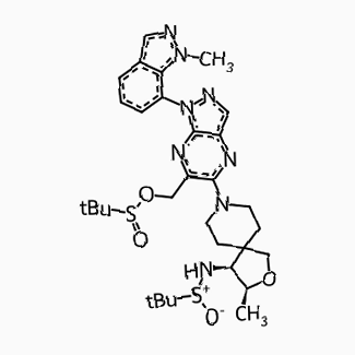 C[C@@H]1OCC2(CCN(c3nc4cnn(-c5cccc6cnn(C)c56)c4nc3COS(=O)C(C)(C)C)CC2)[C@@H]1N[S+]([O-])C(C)(C)C